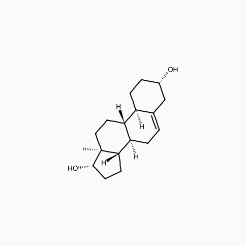 C[C@]12CC[C@H]3[C@@H](CC=C4C[C@@H](O)CC[C@@H]43)[C@@H]1CC[C@@H]2O